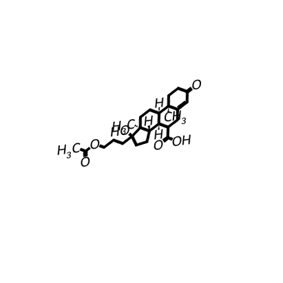 CC(=O)OCCCC1(O)CC[C@H]2[C@@H]3C(C(=O)O)CC4=CC(=O)CC[C@]4(C)[C@@H]3CC[C@@]21C